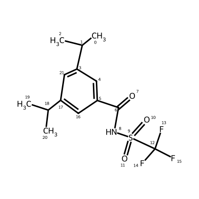 CC(C)c1cc(C(=O)NS(=O)(=O)C(F)(F)F)cc(C(C)C)c1